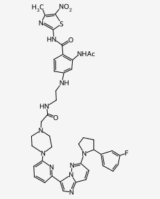 CC(=O)Nc1cc(NCCNC(=O)CN2CCN(c3cccc(-c4cnc5ccc(N6CCCC6c6cccc(F)c6)nn45)n3)CC2)ccc1C(=O)Nc1nc(C)c([N+](=O)[O-])s1